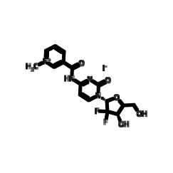 C[n+]1cccc(C(=O)Nc2ccn([C@@H]3OC(CO)[C@@H](O)C3(F)F)c(=O)n2)c1.[I-]